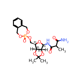 CC(C(N)=O)C(=O)N[C@@H]1O[C@H](COP2(=O)OCc3ccccc3CO2)[C@H]2OC(C)(C)O[C@H]21